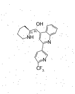 O[C@H](c1cc(-c2ccc(C(F)(F)F)nc2)nc2ccccc12)[C@@H]1CCCCN1